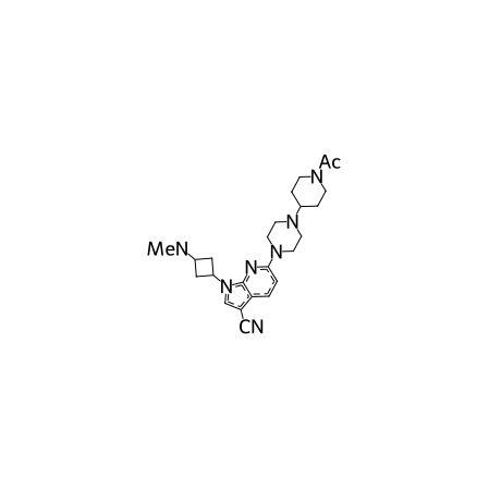 CNC1CC(n2cc(C#N)c3ccc(N4CCN(C5CCN(C(C)=O)CC5)CC4)nc32)C1